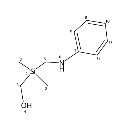 C[Si](C)(CO)CNc1ccccc1